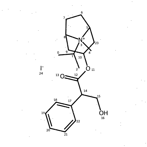 CC(C)[N+]1(C)C2CCC1CC(OC(=O)C(CO)c1ccccc1)C2.[I-]